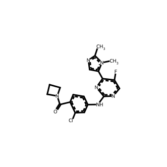 Cc1ncc(-c2nc(Nc3ccc(C(=O)N4CCC4)c(Cl)c3)ncc2F)n1C